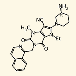 CCn1c(N2CCC[C@H](N)C2)c(C#N)c2c1c(=O)n(Cc1nccc3ccccc13)c(=O)n2C